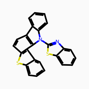 c1ccc2sc(-n3c4ccccc4c4ccc5sc6ccccc6c5c43)nc2c1